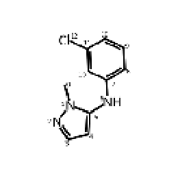 Cn1nccc1Nc1cccc(Cl)c1